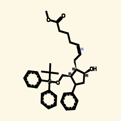 COC(=O)CCC/C=C\C[C@H]1[C@H](CO[Si](c2ccccc2)(c2ccccc2)C(C)(C)C)C(c2ccccc2)C[C@@H]1O